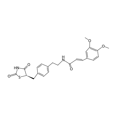 COc1ccc(C=CC(=O)NCCc2ccc(C[C@H]3SC(=O)NC3=O)cc2)cc1OC